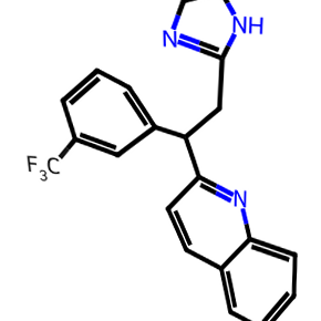 FC(F)(F)c1cccc(C(CC2=NCCN2)c2ccc3ccccc3n2)c1